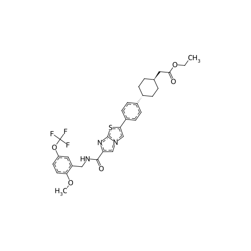 CCOC(=O)C[C@H]1CC[C@H](c2ccc(-c3cn4cc(C(=O)NCc5cc(OC(F)(F)F)ccc5OC)nc4s3)cc2)CC1